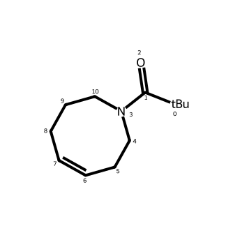 CC(C)(C)C(=O)N1CC/C=C\CCC1